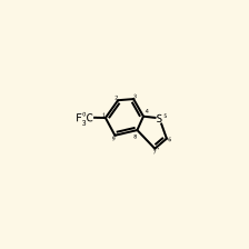 FC(F)(F)c1ccc2sc[c]c2c1